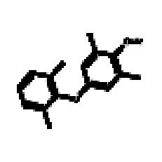 COc1c(C)cc(Oc2c(C)cccc2C)cc1C